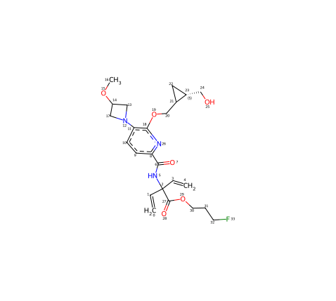 C=CC(C=C)(NC(=O)c1ccc(N2CC(OC)C2)c(OCC2C[C@@H]2CO)n1)C(=O)OCCCF